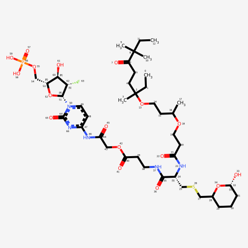 CCC(C)(CCC(=O)C(C)(C)CC)OCCC(C)OCCC(=O)N[C@H](CSCC1CCC[C@@H](O)O1)C(=O)NCCC(=O)OCC(=O)Nc1ccn([C@@H]2O[C@H](COP(=O)(O)O)[C@@H](O)[C@@H]2F)c(=O)n1